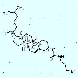 CC(C)CCC[C@@H](C)[C@H]1CC[C@H]2[C@@H]3CC=C4C[C@@H](OC(=O)NCCCBr)CC[C@]4(C)[C@H]3CC[C@]12C